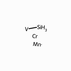 [Cr].[Mn].[SiH3][V]